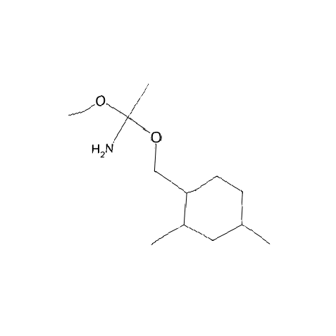 COC(C)(N)OCC1CCC(C)CC1C